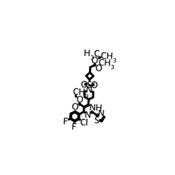 CCOC(=O)C1=C(C2CCN(S(=O)(=O)C3CC(CC(=O)OC(C)(C)C)C3)CC2)NC(c2nccs2)=NC1c1ccc(F)c(F)c1Cl